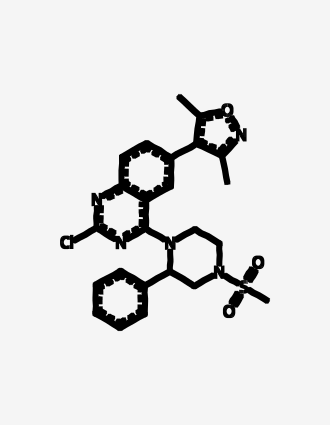 Cc1noc(C)c1-c1ccc2nc(Cl)nc(N3CCN(S(C)(=O)=O)CC3c3ccccc3)c2c1